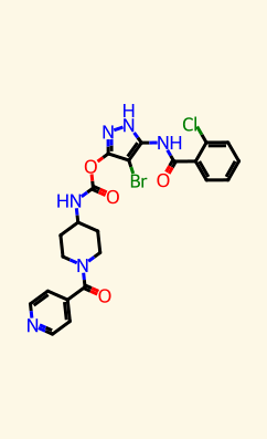 O=C(NC1CCN(C(=O)c2ccncc2)CC1)Oc1n[nH]c(NC(=O)c2ccccc2Cl)c1Br